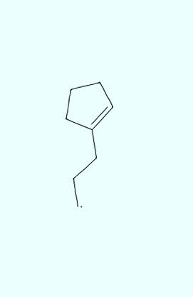 [CH2]CCC1=CCCC1